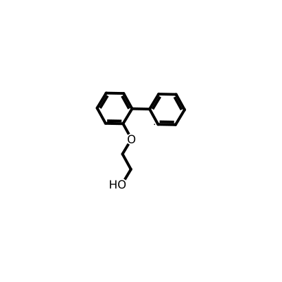 OCCOc1ccccc1-c1[c]cccc1